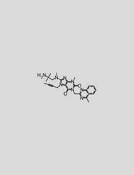 CC#CCn1c(N(C)CC(C)(C)N)nc2c1c(=O)n(Cc1nc(C)c3ccccc3n1)c(=O)n2C